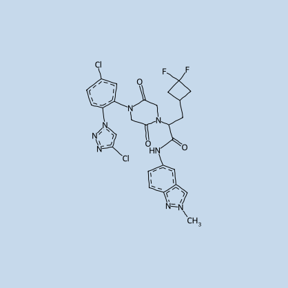 Cn1cc2cc(NC(=O)C(CC3CC(F)(F)C3)N3CC(=O)N(c4cc(Cl)ccc4-n4cc(Cl)nn4)CC3=O)ccc2n1